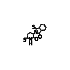 O=C1NC(=S)CCC1N1C(=O)C2=CC=CCC2C1=S